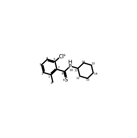 Cc1cccc(Cl)c1C(=S)PC1CCCCC1